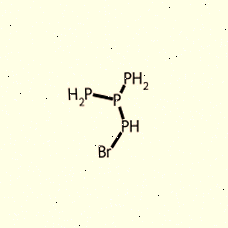 PP(P)PBr